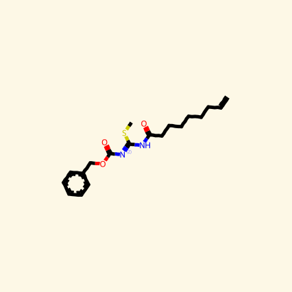 C=CCCCCCCC(=O)N/C(=N/C(=O)OCc1ccccc1)SC